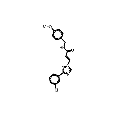 COc1ccc(CNC(=O)/C=C/n2cnc(-c3cccc(Cl)c3)n2)cc1